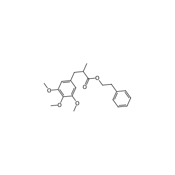 COc1cc(CC(C)C(=O)OCCc2ccccc2)cc(OC)c1OC